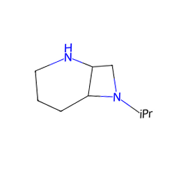 CC(C)N1CC2NCCCC21